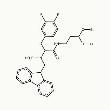 CCOC(CCNC(=O)C(Cc1ccc(F)c(F)c1)N(CC1c2ccccc2-c2ccccc21)C(=O)O)OCC